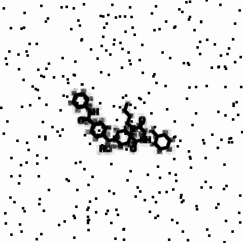 CCCCN1C(=O)[C@H](CC2CCCCC2)NC(=O)C12CCN(Cc1ccc(C(=O)Nc3ccccc3)cc1)CC2.Cl